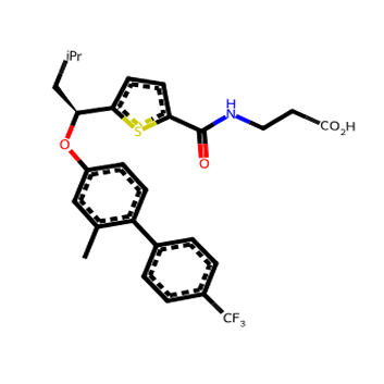 Cc1cc(O[C@@H](CC(C)C)c2ccc(C(=O)NCCC(=O)O)s2)ccc1-c1ccc(C(F)(F)F)cc1